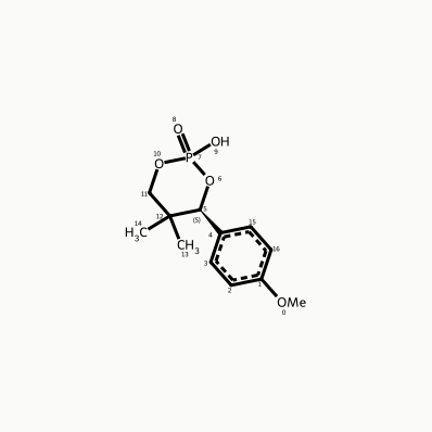 COc1ccc([C@@H]2OP(=O)(O)OCC2(C)C)cc1